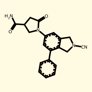 N#CN1Cc2cc(N3CC(C(N)=O)CC3=O)cc(-c3ccccc3)c2C1